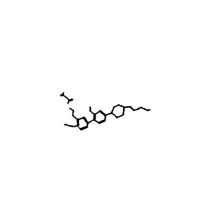 C=C(C)C(=O)OCCc1cc(-c2ccc(C3CCC(CCCCC)CC3)cc2CC)ccc1CCO